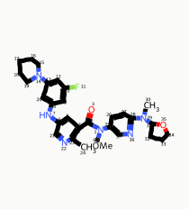 CON(C(=O)c1cc(Nc2cc(F)cc(N3CCCCC3)c2)cnc1C)c1ccc(N(C)C2CCCO2)nc1